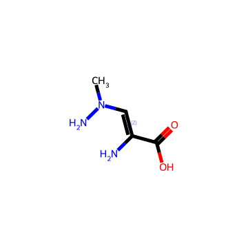 CN(N)/C=C(\N)C(=O)O